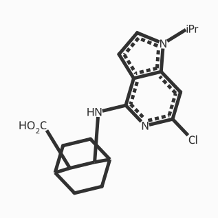 CC(C)n1ccc2c(NC3C4CCC(CC4)C3C(=O)O)nc(Cl)cc21